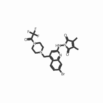 CC1=C(C)C(=O)N(Nc2cc(CN3CCN(C(=O)C(F)(F)F)CC3)c3ccc(Br)cc3n2)C1=O